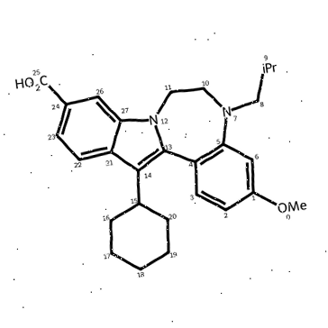 COc1ccc2c(c1)N(CC(C)C)CCn1c-2c(C2CCCCC2)c2ccc(C(=O)O)cc21